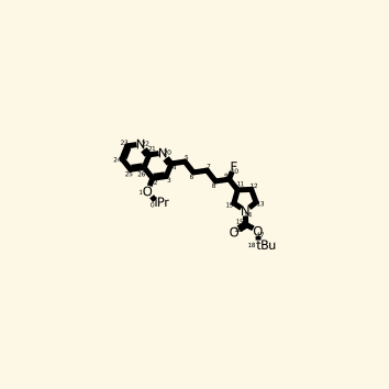 CC(C)Oc1cc(CCCCC(F)C2CCN(C(=O)OC(C)(C)C)C2)nc2ncccc12